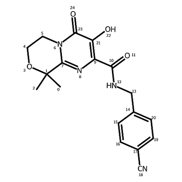 CC1(C)OCCn2c1nc(C(=O)NCc1ccc(C#N)cc1)c(O)c2=O